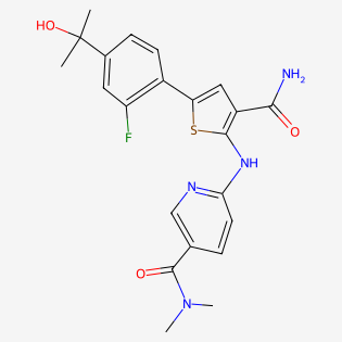 CN(C)C(=O)c1ccc(Nc2sc(-c3ccc(C(C)(C)O)cc3F)cc2C(N)=O)nc1